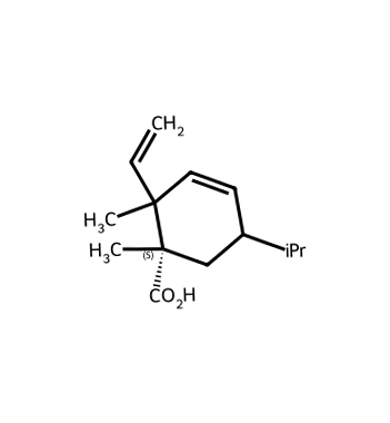 C=CC1(C)C=CC(C(C)C)C[C@]1(C)C(=O)O